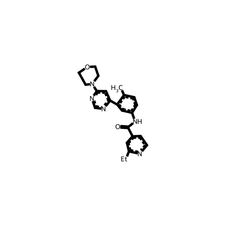 CCc1cc(C(=O)Nc2ccc(C)c(-c3cc(N4CCOCC4)ncn3)c2)ccn1